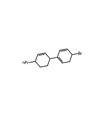 CCCC1C=CC(C2=CCC(Br)C=C2)CC1